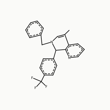 CC1=CN(Cc2ccccc2)C(c2ccc(C(F)(F)F)cc2)c2ncccc21